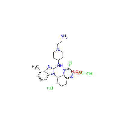 Cc1cccc2c1nc(NC1CCN(CCN)CC1)n2C1CCCc2ncc(Cl)nc21.Cl.Cl.Cl.O.O